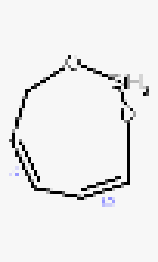 C1=C\CO[SiH2]O\C=C/1